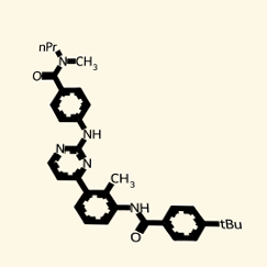 CCCN(C)C(=O)c1ccc(Nc2nccc(-c3cccc(NC(=O)c4ccc(C(C)(C)C)cc4)c3C)n2)cc1